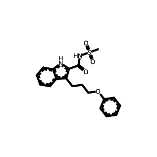 CS(=O)(=O)NC(=O)c1[nH]c2ccccc2c1CCCOc1ccccc1